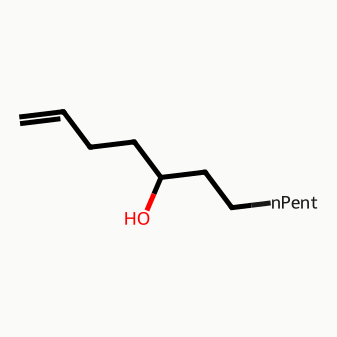 C=CCCC(O)CCCCCCC